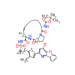 Cc1cc(-c2cc(O[C@@H]3C[C@H]4C(=O)N[C@]5(C(=O)NS(=O)(=O)C6CC6)C[C@H]5/C=C\CCCCC[C@H](NC(=O)OC(C)(C)C)C(=O)N4C3)c3oc4ccccc4c3n2)sc1C